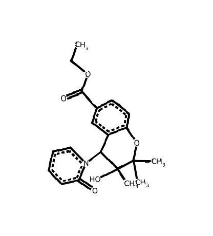 CCOC(=O)c1ccc2c(c1)C(n1ccccc1=O)C(C)(O)C(C)(C)O2